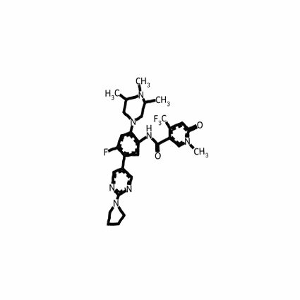 CC1CN(c2cc(F)c(-c3cnc(N4CCCC4)nc3)cc2NC(=O)c2cn(C)c(=O)cc2C(F)(F)F)CC(C)N1C